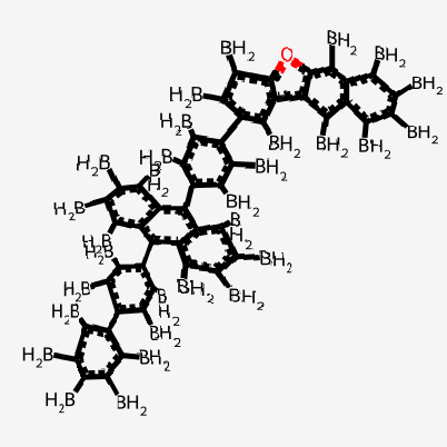 Bc1c(B)c(B)c(-c2c(B)c(B)c(-c3c4c(B)c(B)c(B)c(B)c4c(-c4c(B)c(B)c(-c5c(B)c(B)c6oc7c(B)c8c(B)c(B)c(B)c(B)c8c(B)c7c6c5B)c(B)c4B)c4c(B)c(B)c(B)c(B)c34)c(B)c2B)c(B)c1B